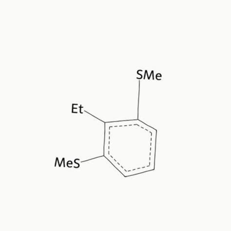 [CH2]Cc1c(SC)cccc1SC